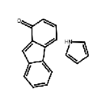 O=C1C=CC=C2C1=Cc1ccccc12.c1cc[nH]c1